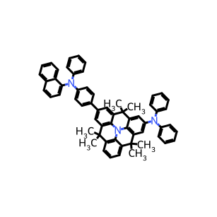 CC1(C)c2cccc3c2N2c4c1cc(-c1ccc(N(c5ccccc5)c5cccc6ccccc56)cc1)cc4C(C)(C)c1cc(N(c4ccccc4)c4ccccc4)cc(c12)C3(C)C